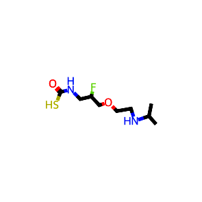 CC(C)NCCOCC(F)CNC(=O)S